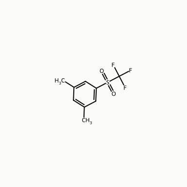 Cc1cc(C)cc(S(=O)(=O)C(F)(F)F)c1